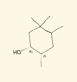 CC1C[C@H](C)[C@H](O)CC1(C)C